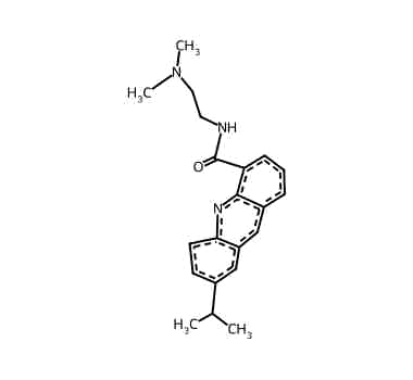 CC(C)c1ccc2nc3c(C(=O)NCCN(C)C)cccc3cc2c1